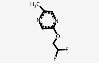 Cc1cnc(OCC(F)F)cn1